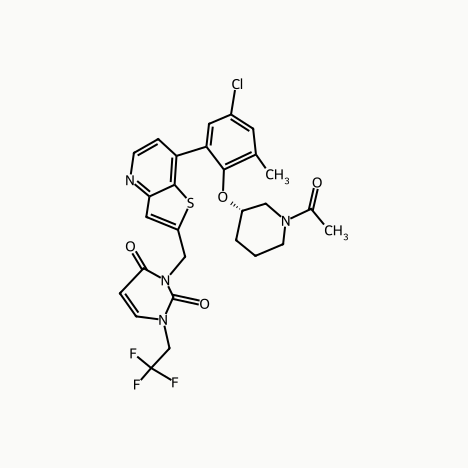 CC(=O)N1CCC[C@H](Oc2c(C)cc(Cl)cc2-c2ccnc3cc(Cn4c(=O)ccn(CC(F)(F)F)c4=O)sc23)C1